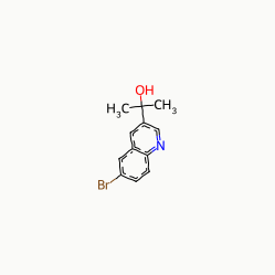 CC(C)(O)c1cnc2ccc(Br)cc2c1